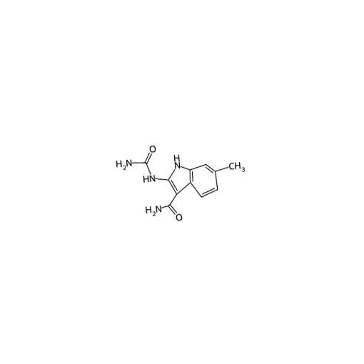 Cc1ccc2c(C(N)=O)c(NC(N)=O)[nH]c2c1